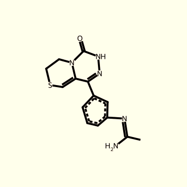 CC(N)=Nc1cccc(C2=NNC(=O)N3CCSC=C23)c1